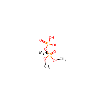 COP(=O)(OC)OP(=O)(O)O.[MgH2]